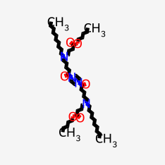 CCCCCCCCCCN(CCCCC(=O)N1CCN(C(=O)CCCCN(CCCCCCCCCC)CCCC(=O)OCCCCC)CC1)CCCC(=O)OCCCCC